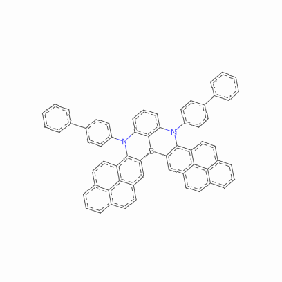 c1ccc(-c2ccc(N3c4cccc5c4B(c4cc6ccc7cccc8ccc(c43)c6c78)c3cc4ccc6cccc7ccc(c3N5c3ccc(-c5ccccc5)cc3)c4c67)cc2)cc1